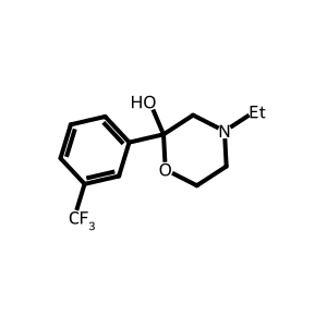 CCN1CCOC(O)(c2cccc(C(F)(F)F)c2)C1